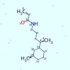 C=CC(=O)NCCC[C@@H](C)C1CCC[C@@H](C)C1